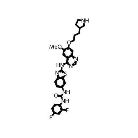 COc1cc2c(Nc3nc4ccc(NC(=O)Nc5ccc(F)cc5F)cc4s3)ncnc2cc1OCCCC1CCNC1